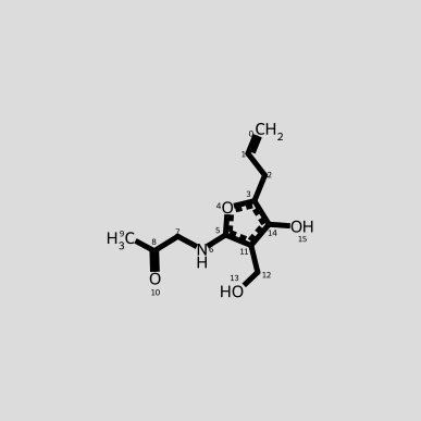 C=CCc1oc(NCC(C)=O)c(CO)c1O